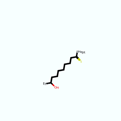 CCCCCCCC(=S)CCCCCCCC(O)CC